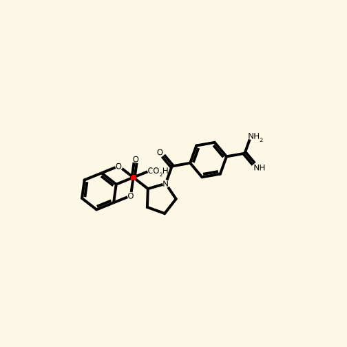 N=C(N)c1ccc(C(=O)N2CCCC2C(=O)c2c3cccc2OC(C(=O)O)O3)cc1